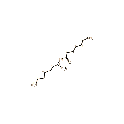 NCCCCCC(=O)OC(N)CCCCCN